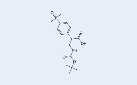 CC(C)(C)OC(=O)NCC(C(=O)O)c1ccc(P(C)(C)=O)cc1